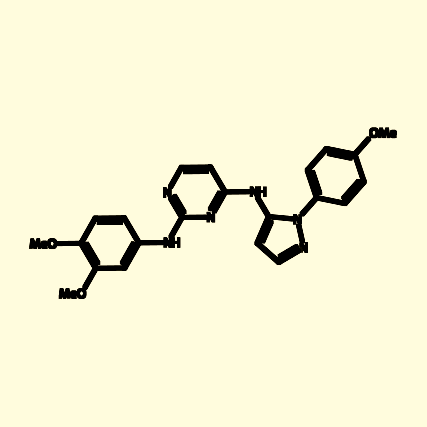 COc1ccc(-n2nccc2Nc2ccnc(Nc3ccc(OC)c(OC)c3)n2)cc1